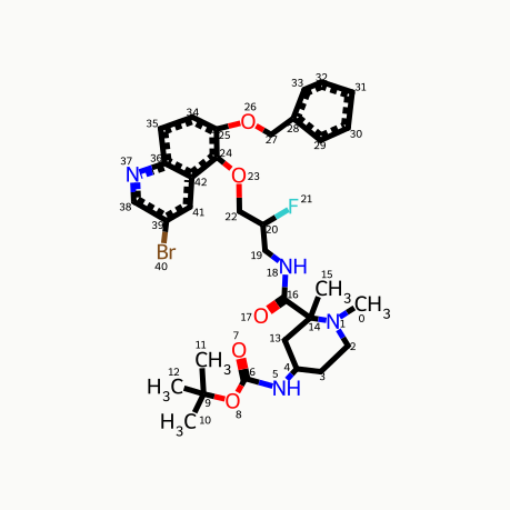 CN1CCC(NC(=O)OC(C)(C)C)CC1(C)C(=O)NCC(F)COc1c(OCc2ccccc2)ccc2ncc(Br)cc12